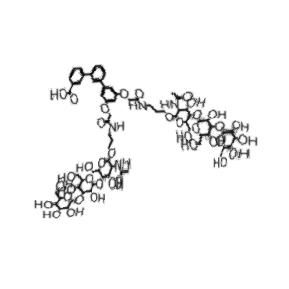 CC(=O)NC1C(O)[C@H](O[C@@H]2OC(CO)[C@H](O)C(O[C@H]3OC(CO)[C@H](O)C(O)C3O)C2O)C(CO)O[C@H]1OCCCNC(=O)COc1cc(OCC(=O)NCCCO[C@@H]2OC(CO)[C@@H](O[C@@H]3OC(CO)[C@H](O)C(O[C@H]4OC(CO)[C@H](O)C(O)[C@H]4O)C3O)C(O)C2NC(C)=O)cc(-c2cccc(-c3cccc(C(=O)O)c3)c2)c1